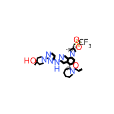 C=CC(=O)N1CCCCC[C@@H]1c1ccc(N2C[C@H](CS(=O)(=O)C(F)(F)F)[C@H]2C)c2cnc(Nc3ccnc(N4CCC(C)(O)CC4)n3)cc12